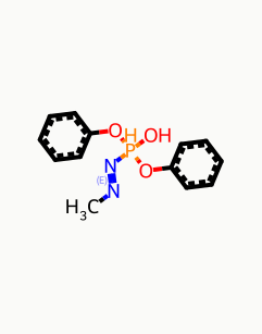 C/N=N/[PH](O)(Oc1ccccc1)Oc1ccccc1